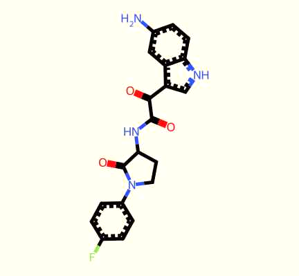 Nc1ccc2[nH]cc(C(=O)C(=O)NC3CCN(c4ccc(F)cc4)C3=O)c2c1